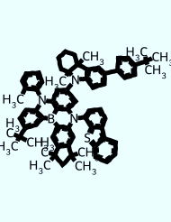 Cc1ccccc1N1c2ccc(C(C)(C)C)cc2B2c3cc4c(cc3N(c3cccc5c3sc3ccccc35)c3cc(N5c6ccc(-c7ccc(C(C)(C)C)cc7)cc6C6(C)CCCCC56C)cc1c32)C(C)(C)CC4(C)C